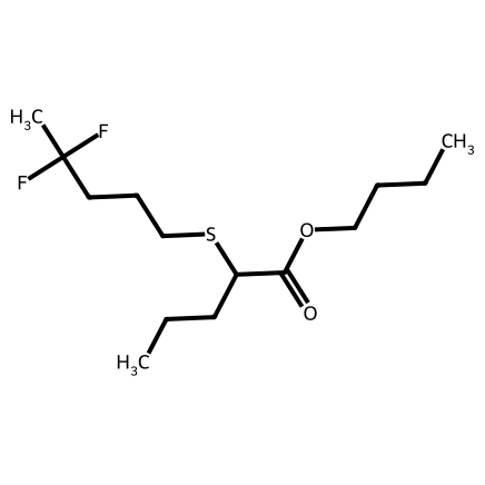 CCCCOC(=O)C(CCC)SCCCC(C)(F)F